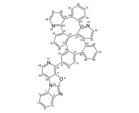 c1ccc2c(c1)nc1oc3c(-c4ccc5c(c4)c4cccc6c4-c4c(ccnc4c4ccccc4c4cccnc64)c4ccccc45)nccc3n12